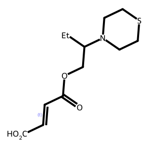 CCC(COC(=O)/C=C/C(=O)O)N1CCSCC1